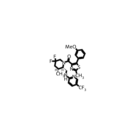 COc1cccc(-c2sc(C)nc2C(=O)N2CC(F)(F)C[C@@H](C)[C@H]2CNc2ccc(C(F)(F)F)cn2)c1